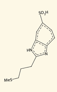 CSCCCc1nc2ccc(S(=O)(=O)O)cc2[nH]1